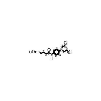 CCCCCCCCCCCCCC(=O)Nc1ccc(N(CCCl)CCCl)cc1